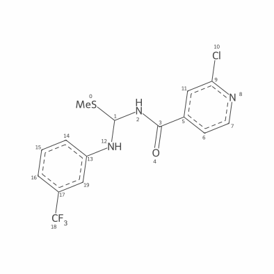 CSC(NC(=O)c1ccnc(Cl)c1)Nc1cccc(C(F)(F)F)c1